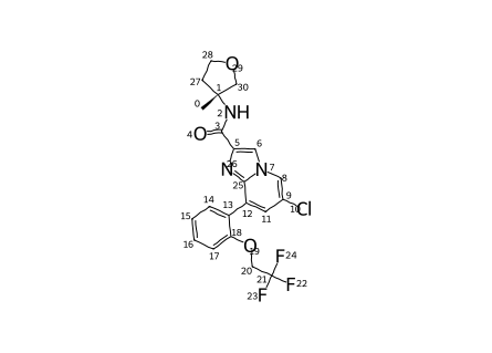 C[C@@]1(NC(=O)c2cn3cc(Cl)cc(-c4ccccc4OCC(F)(F)F)c3n2)CCOC1